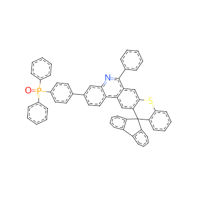 O=P(c1ccccc1)(c1ccccc1)c1ccc(-c2ccc3c(c2)nc(-c2ccccc2)c2cc4c(cc23)C2(c3ccccc3S4)c3ccccc3-c3ccccc32)cc1